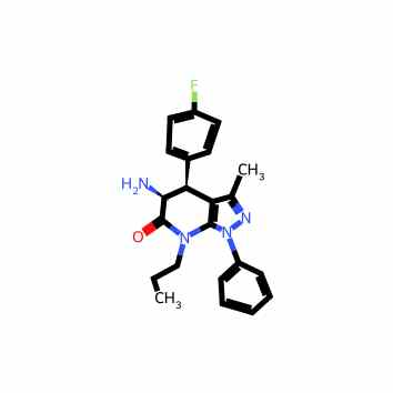 CCCN1C(=O)[C@@H](N)[C@@H](c2ccc(F)cc2)c2c(C)nn(-c3ccccc3)c21